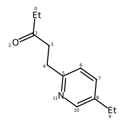 CCC(=O)CCc1ccc(CC)cn1